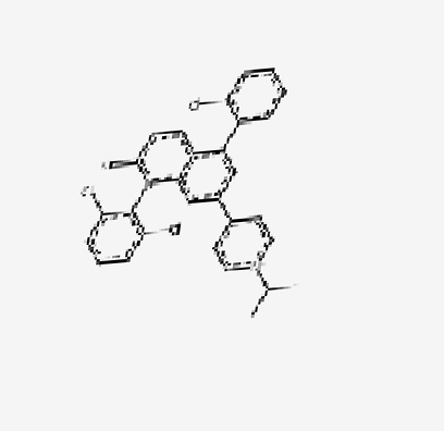 CC(C)[n+]1ccc(-c2cc(-c3ccccc3Cl)c3ccc(=O)n(-c4c(Cl)cccc4Cl)c3c2)cc1